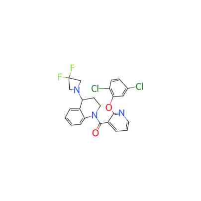 O=C(c1cccnc1Oc1cc(Cl)ccc1Cl)N1CCC(N2CC(F)(F)C2)c2ccccc21